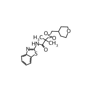 CC(C)(C(=O)Nc1nc2ccccc2s1)S(=O)(=O)CC1CCOCC1